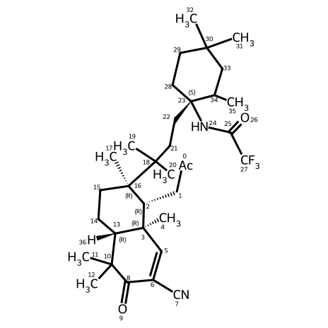 CC(=O)C[C@@H]1[C@@]2(C)C=C(C#N)C(=O)C(C)(C)[C@@H]2CC[C@@]1(C)C(C)(C)CC[C@@]1(NC(=O)C(F)(F)F)CCC(C)(C)CC1C